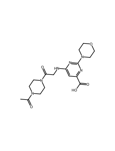 CC(=O)N1CCN(C(=O)CNc2cc(C(=O)O)nc(N3CCOCC3)n2)CC1